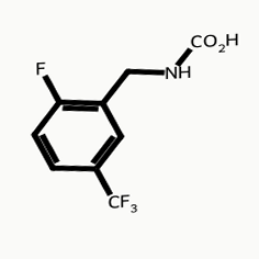 O=C(O)NCc1cc(C(F)(F)F)ccc1F